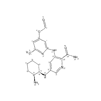 Cc1cc(OC=O)cc(Nc2cc(N[C@@H]3CCCC[C@@H]3N)cnc2C(N)=O)n1